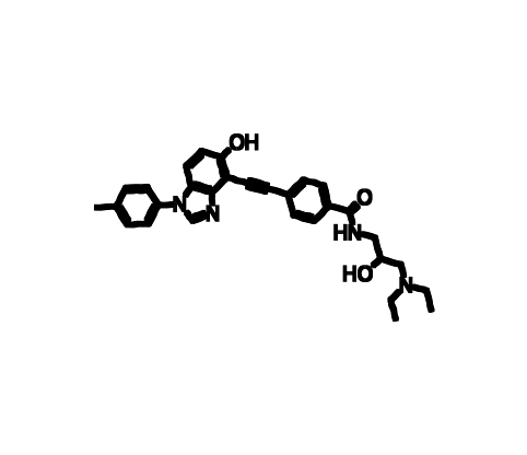 CCN(CC)CC(O)CNC(=O)c1ccc(C#Cc2c(O)ccc3c2ncn3-c2ccc(C)cc2)cc1